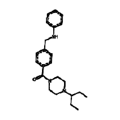 CCC(CC)N1CCN(C(=O)c2ccc(CNc3ccccc3)cc2)CC1